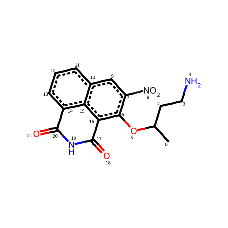 CC(CCN)Oc1c([N+](=O)[O-])cc2cccc3c2c1C(=O)NC3=O